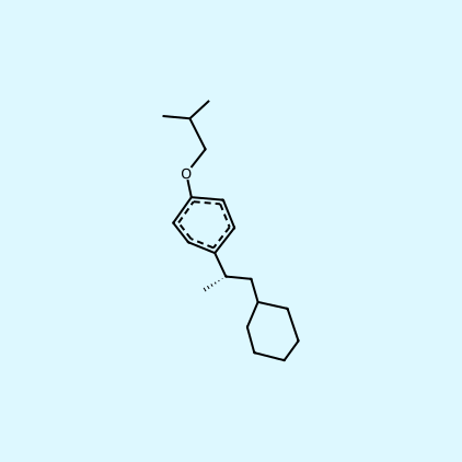 CC(C)COc1ccc([C@@H](C)CC2CCCCC2)cc1